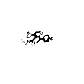 COc1ccnc(C(C)c2ccc(F)cc2)c1C(N)=O